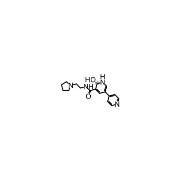 O=C(NCCN1CCCC1)C1=CC(c2ccncc2)=CN[C@H]1O